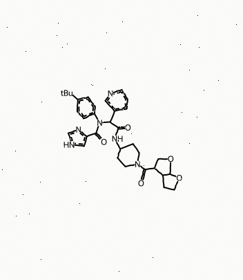 CC(C)(C)c1ccc(N(C(=O)c2c[nH]cn2)C(C(=O)NC2CCN(C(=O)C3COC4OCCC43)CC2)c2cccnc2)cc1